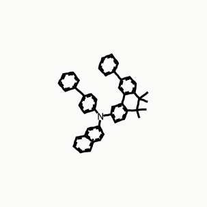 CC1(C)c2ccc(-c3ccccc3)cc2-c2cc(N(c3ccc(-c4ccccc4)cc3)c3ccc4ccccc4c3)ccc2C1(C)C